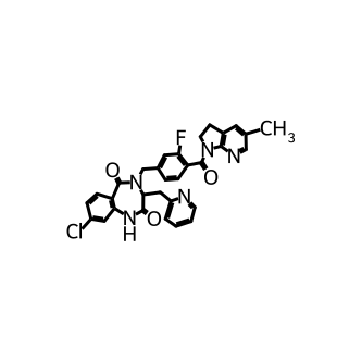 Cc1cnc2c(c1)CCN2C(=O)c1ccc(CN2C(=O)c3ccc(Cl)cc3NC(=O)C2Cc2ccccn2)cc1F